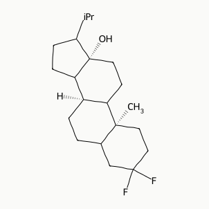 CC(C)C1CCC2[C@@H]3CCC4CC(F)(F)CC[C@]4(C)C3CC[C@]12O